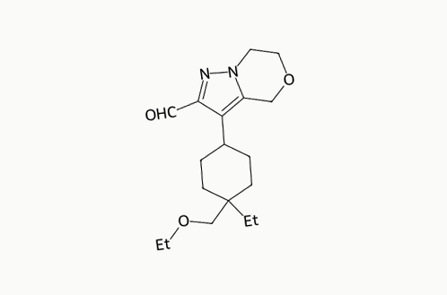 CCOCC1(CC)CCC(c2c(C=O)nn3c2COCC3)CC1